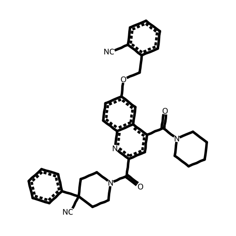 N#Cc1ccccc1COc1ccc2nc(C(=O)N3CCC(C#N)(c4ccccc4)CC3)cc(C(=O)N3CCCCC3)c2c1